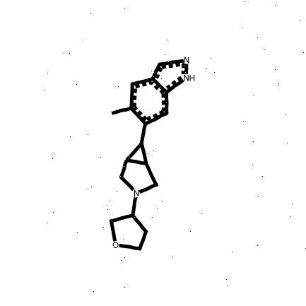 Cc1cc2cn[nH]c2cc1C1C2CN(C3CCOC3)CC21